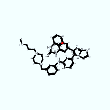 COCCCN1CCN(Cc2cccc(Nc3nccc(-c4c(-c5cccc(NC(=O)Nc6ccccc6)c5)nc5sccn45)n3)c2)CC1